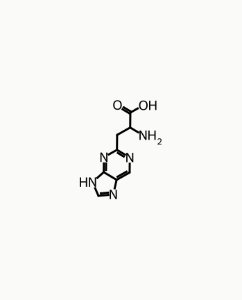 NC(Cc1ncc2nc[nH]c2n1)C(=O)O